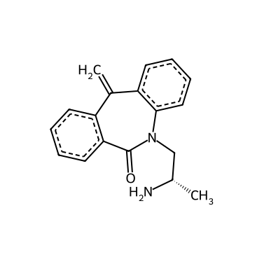 C=C1c2ccccc2C(=O)N(C[C@H](C)N)c2ccccc21